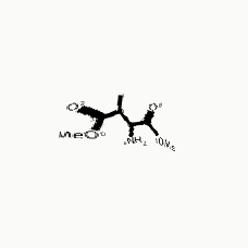 COC(=O)C(C)C(N)C(=O)OC